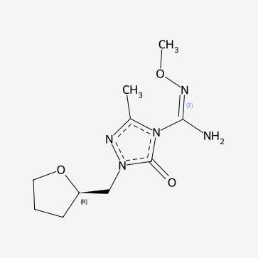 CO/N=C(/N)n1c(C)nn(C[C@H]2CCCO2)c1=O